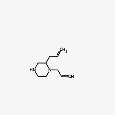 [CH]=CCN1CCNCC1CC=C